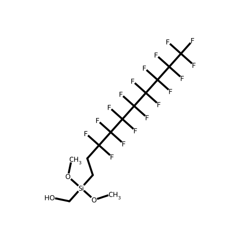 CO[Si](CO)(CCC(F)(F)C(F)(F)C(F)(F)C(F)(F)C(F)(F)C(F)(F)C(F)(F)C(F)(F)F)OC